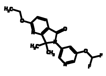 CCOc1ccc2c(n1)C(C)(C)N(c1cncc(OC(F)F)c1)C2=O